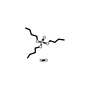 CCCCOP(=O)(OCCCC)OCCCC.[O]=[Ti]